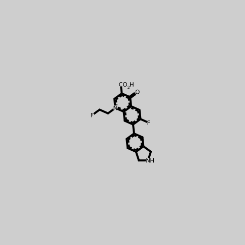 O=C(O)c1cn(CCF)c2cc(-c3ccc4c(c3)CNC4)c(F)cc2c1=O